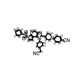 N#CCC1CCC(n2c(C3CCN(c4ccc(C#N)cc4)CC3)nc3cnc4c(ccn4S(=O)(=O)c4ccccc4)c32)CC1